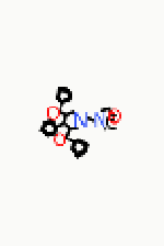 O=C(c1ccccc1)C1CN(CCN2CCOCC2)CC(C(=O)c2ccccc2)C1c1ccccc1